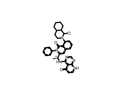 C[C@H](Nc1ncnc2[nH]ccc(=O)c12)c1cc2cccc(N3CCC4CCCCC4C3Cl)c2c(=O)n1-c1ccccc1